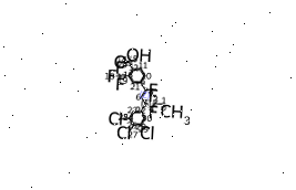 CCC(F)(F)[C@@H](/C=C(\F)c1ccc(C(=O)O)c(C(F)(F)F)c1)c1cc(Cl)c(Cl)c(Cl)c1